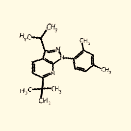 Cc1ccc(-n2nc(C(C)C)c3ccc(C(C)(C)C)nc32)c(C)c1